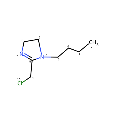 CCCCN1CCN=C1CCl